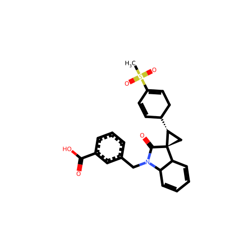 CS(=O)(=O)C1=CCC([C@@H]2C[C@@]23C(=O)N(Cc2cccc(C(=O)O)c2)C2C=CC=CC23)C=C1